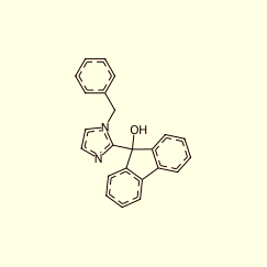 OC1(c2nccn2Cc2ccccc2)c2ccccc2-c2ccccc21